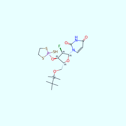 CC(C)(C)[Si](C)(C)OC[C@H]1O[C@@H](n2ccc(=O)[nH]c2=O)[C@H](F)[C@@H]1O[P]1(S)SCCS1